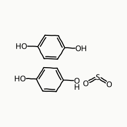 O=S=O.Oc1ccc(O)cc1.Oc1ccc(O)cc1